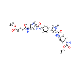 C=CCOC(=O)Nc1ccc(NC(=O)c2cc(-c3ccc(NC(=O)c4cc(NC(=O)CCCC(=O)OC(C)(C)C)cn4C)cc3)cn2C)cc1